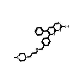 CN1CCN(CCCNCc2ccc(-c3nc4nc(S)ncc4cc3-c3ccccc3)cc2)CC1